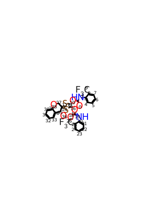 O=C(Nc1ccccc1C(F)(F)F)OCSC1(SCOC(=O)Nc2ccccc2C(F)(F)F)COc2ccccc2C1=O